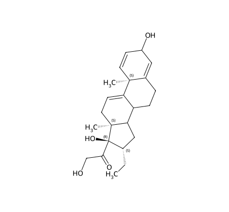 CC[C@H]1CC2C3CCC4=CC(O)C=C[C@]4(C)C3=CC[C@]2(C)[C@@]1(O)C(=O)CO